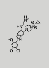 COc1cc(OC)c(-c2cn3cc(NCCN)c(N4CCN(S(=O)(=O)C5CC5)CC4)cc3n2)cc1Cl